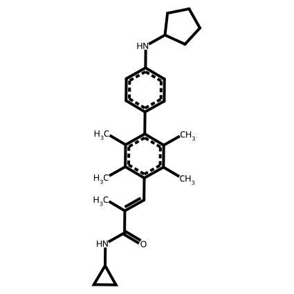 C/C(=C\c1c(C)c(C)c(-c2ccc(NC3CCCC3)cc2)c(C)c1C)C(=O)NC1CC1